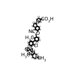 Cc1c(COc2ccc3c(c2C#N)CC[C@H]3N2CC[C@@H](C(=O)O)C2)cccc1-c1cccc(SC2(c3nc4c(n3C)CCN(C)C4)COC2)c1Cl